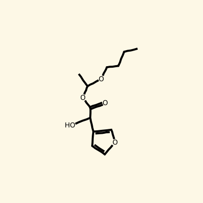 CCCCOC(C)OC(=O)C(O)c1ccoc1